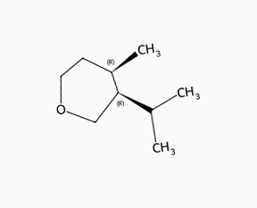 CC(C)[C@H]1COCC[C@H]1C